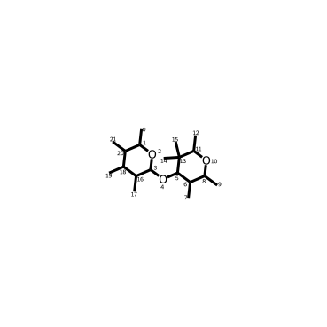 CC1OC(OC2C(C)C(C)OC(C)C2(C)C)C(C)C(C)C1C